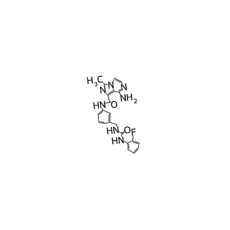 Cc1nc(C(=O)Nc2cccc(CNC(=O)Nc3ccccc3F)c2)c2c(N)nccn12